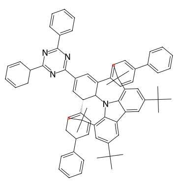 CC(C)(C)c1cc(C(C)(C)C)c2c(c1)c1cc(C(C)(C)C)cc(C(C)(C)C)c1n2C1C(c2ccc(-c3ccccc3)cc2)=CC(c2nc(-c3ccccc3)nc(C3C=CC=CC3)n2)=C[C@H]1C1=CCC(c2ccccc2)C=C1